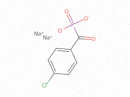 O=C(c1ccc(Cl)cc1)P(=O)([O-])[O-].[Na+].[Na+]